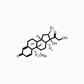 C[C@@H]1C[C@H]2[C@@H]3CCC4=CC(=O)C=C[C@]4(C)[C@@]3(F)[C@@H](O)C[C@]2(C)[C@@]1(O)C(=O)CO.I